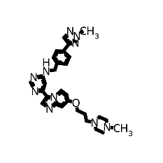 CN1CCN(CCCOc2ccn3c(-c4cc(NCc5ccc(-c6cnn(C)n6)cc5)ncn4)cnc3c2)CC1